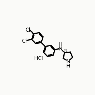 Cl.Clc1ccc(-c2cccc(N[C@H]3CCNC3)c2)cc1Cl